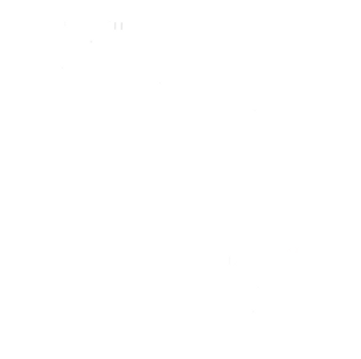 CC(C)(C)c1ccc(-c2c3ccccc3c(-c3ccc4c(c3)B3c5ccccc5Oc5cccc(c53)O4)c3ccccc23)cc1